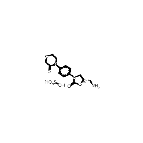 NC[C@H]1CN(c2ccc(N3CCOCC3=O)cc2)C(=O)O1.O=S(=O)(O)O